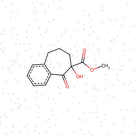 COC(=O)C1(O)CCCc2ccccc2C1=O